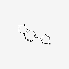 c1cc(-c2ccc3cnsc3c2)c[nH]1